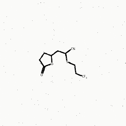 N#CC(CC1CCC(=O)O1)SCCC(F)(F)F